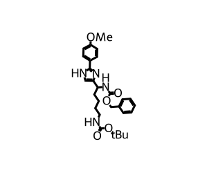 COc1ccc(-c2nc(C(CCCCNC(=O)OC(C)(C)C)NC(=O)OCc3ccccc3)c[nH]2)cc1